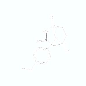 COc1ccc(N2C[C@@H]3CC[C@H]2CC(=O)N3)cc1